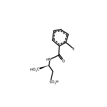 O=C(N[C@@H](CS(=O)(=O)O)C(=O)O)c1ccccc1F